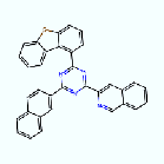 c1ccc2cc(-c3nc(-c4cc5ccccc5cn4)nc(-c4cccc5sc6ccccc6c45)n3)ccc2c1